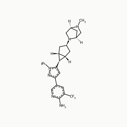 CC(C)n1nc(-c2cnc(N)c(C(F)(F)F)c2)cc1[C@H]1[C@@H]2C[C@@H](N3C[C@@H]4C[C@H]3CN4C)C[C@@H]21